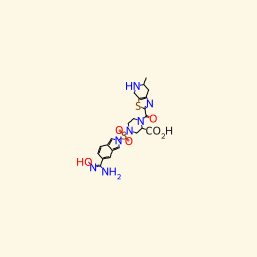 CC1Cc2nc(C(=O)N3CCN(S(=O)(=O)n4cc5ccc(/C(N)=N\O)cc5c4)CC3C(=O)O)sc2CN1